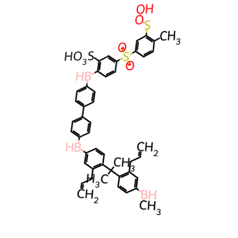 C=CCc1cc(BC)ccc1C(C)(C)c1ccc(Bc2ccc(-c3ccc(Bc4ccc(S(=O)(=O)c5ccc(C)c(SOO)c5)cc4S(=O)(=O)O)cc3)cc2)cc1CC=C